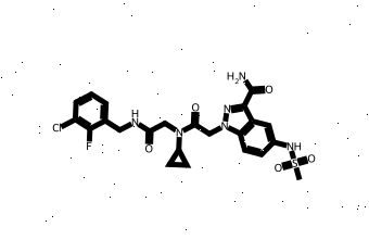 CS(=O)(=O)Nc1ccc2c(c1)c(C(N)=O)nn2CC(=O)N(CC(=O)NCc1cccc(Cl)c1F)C1CC1